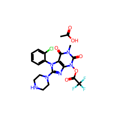 CC(=O)O.Cn1c(=O)c2c(nc(N3CCNCC3)n2-c2ccccc2Cl)n(OC(=O)C(F)(F)F)c1=O